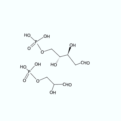 O=CC(O)COP(=O)(O)O.O=CC[C@H](O)[C@H](O)COP(=O)(O)O